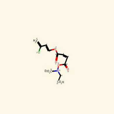 C=C(Cl)C=COC(=O)/C=C\C(=O)ON(CC(=O)O)C(=O)OCC